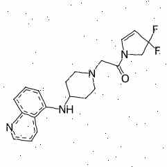 O=C(CN1CCC(Nc2cccc3ncccc23)CC1)N1C=CC(F)(F)C1